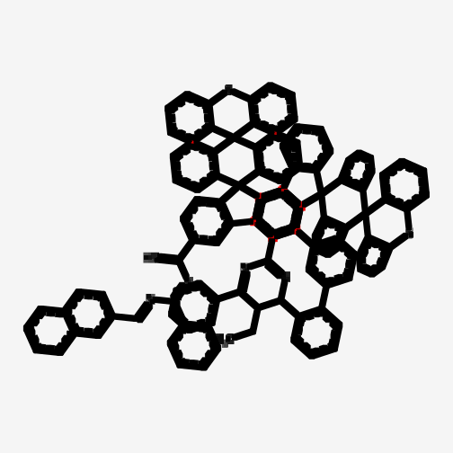 CCC1C(c2ccccc2)=NC(c2ccc3c(c2)C2(c4ccccc4-3)c3ccccc3C3(c4ccccc4Sc4ccccc43)c3ccccc32)=NC1c1ccccc1-c1cccc(-c2ccc3c(c2)-c2cc(C(=N)/N=C(\N=C\c4ccc5ccccc5c4)c4ccccc4)ccc2C32c3ccccc3C3(c4ccccc4Sc4ccccc43)c3ccccc32)c1